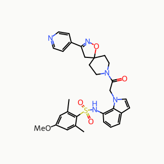 COc1cc(C)c(S(=O)(=O)Nc2cccc3ccn(CC(=O)N4CCC5(CC4)CC(c4ccncc4)=NO5)c23)c(C)c1